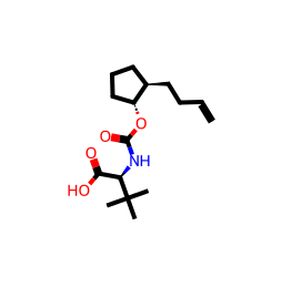 C=CCC[C@@H]1CCC[C@H]1OC(=O)N[C@H](C(=O)O)C(C)(C)C